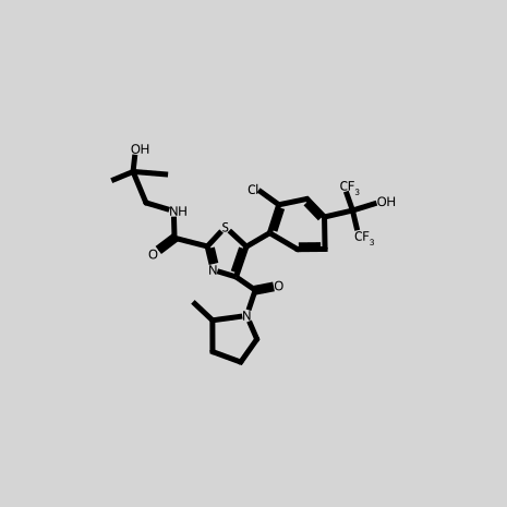 CC1CCCN1C(=O)c1nc(C(=O)NCC(C)(C)O)sc1-c1ccc(C(O)(C(F)(F)F)C(F)(F)F)cc1Cl